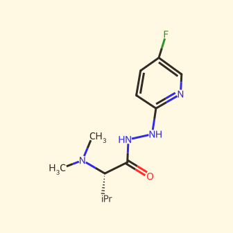 CC(C)[C@@H](C(=O)NNc1ccc(F)cn1)N(C)C